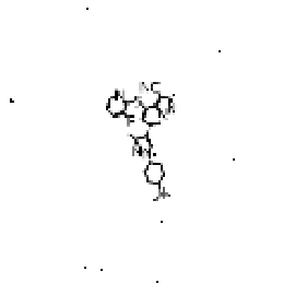 Cc1nn([C@H]2CC[C@H](N(C)C)CC2)cc1-c1cc(Sc2ncccc2F)c2c(C#N)cnn2c1